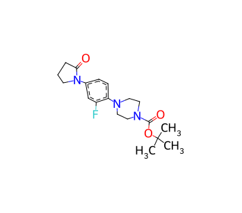 CC(C)(C)OC(=O)N1CCN(c2ccc(N3CCCC3=O)cc2F)CC1